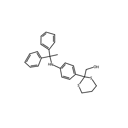 CC(Nc1ccc(C2(CO)SCCCS2)cc1)(c1ccccc1)c1ccccc1